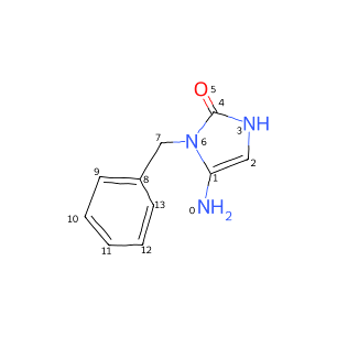 Nc1c[nH]c(=O)n1Cc1ccccc1